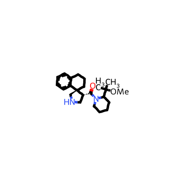 COC(C)(C)C1CCCCN1C(=O)[C@@H]1CNC[C@@]12CCCc1ccccc12